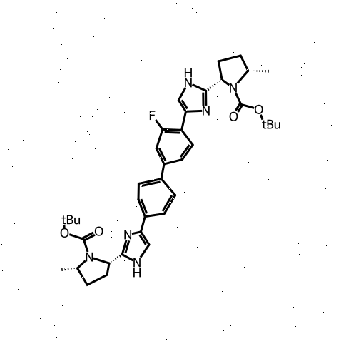 C[C@H]1CC[C@@H](c2nc(-c3ccc(-c4ccc(-c5c[nH]c([C@@H]6CC[C@H](C)N6C(=O)OC(C)(C)C)n5)c(F)c4)cc3)c[nH]2)N1C(=O)OC(C)(C)C